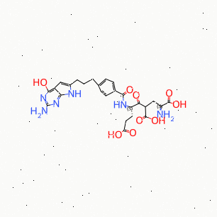 Nc1nc(O)c2cc(CCCc3ccc(C(=O)N[C@@H](CCC(=O)O)C(=O)C(C[C@H](N)C(=O)O)C(=O)O)cc3)[nH]c2n1